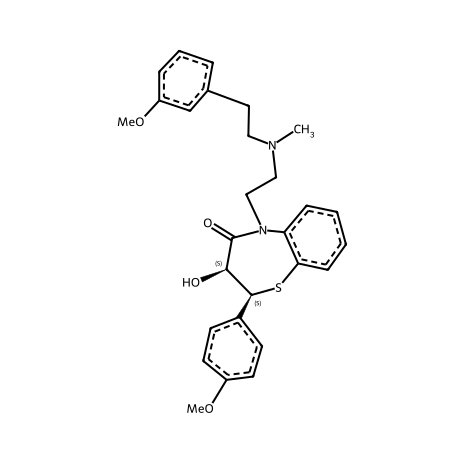 COc1ccc([C@@H]2Sc3ccccc3N(CCN(C)CCc3cccc(OC)c3)C(=O)[C@@H]2O)cc1